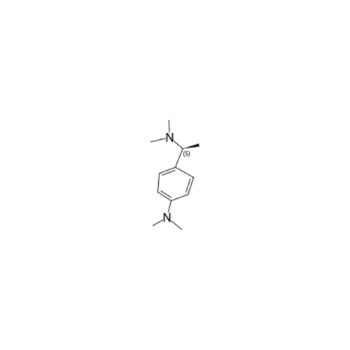 C[C@@H](c1ccc(N(C)C)cc1)N(C)C